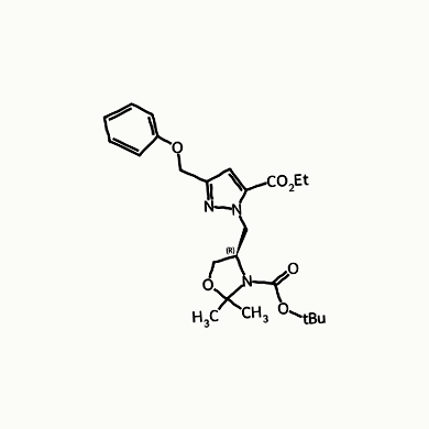 CCOC(=O)c1cc(COc2ccccc2)nn1C[C@@H]1COC(C)(C)N1C(=O)OC(C)(C)C